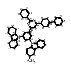 CC1C=Cc2c(c3ccccc3n2-c2cc(-c3cc(C4CC=C(c5ccccc5)CC4)nc(C4C=CCCC4)n3)cc(-n3c4c(c5c3CCC=C5)CCC=C4)c2)C1